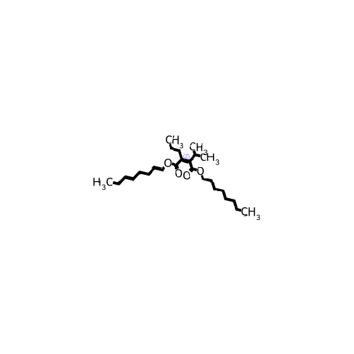 CCCCCCCCOC(=O)/C(CCC)=C(\C(=O)OCCCCCCCC)C(C)C